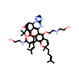 CC(C)=CCCC1(C)C=Cc2c(c(CC=C(C)C)c3c(c2OCCNCCO)C2=C4C(C5CC6C(C)(C)OC(C/C=C(/C)C(=O)NCCO)(C5=O)C46O3)n3ncnc3N2)O1